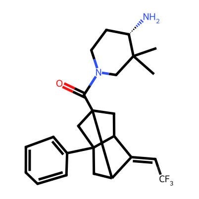 CC1(C)CN(C(=O)C23CC4/C(=C/C(F)(F)F)C2CC4(c2ccccc2)C3)CC[C@@H]1N